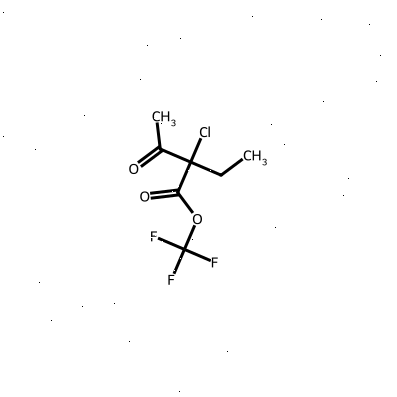 CCC(Cl)(C(C)=O)C(=O)OC(F)(F)F